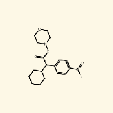 O=C(ON1CCOCC1)C(c1ccc([N+](=O)[O-])cc1)C1CCCCC1